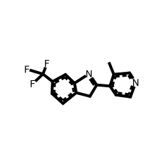 Cc1cnccc1C1=Nc2cc(C(F)(F)F)ccc2C1